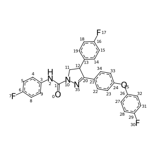 O=C(Nc1ccc(F)cc1)N1CC(c2ccc(F)cc2)C(c2ccc(Oc3ccc(F)cc3)cc2)=N1